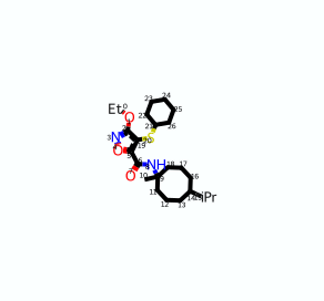 CCOc1noc(C(=O)NC2(C)CCCC(C(C)C)CCC2)c1SC1CCCCC1